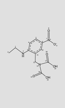 CCNc1ccc([N+](=O)[O-])cc1CN(C(=O)O)C(=O)O